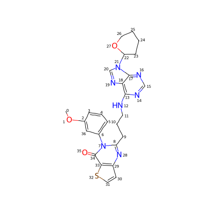 COc1cccc(-n2c(CCCNc3ncnc4c3ncn4C3CCCCO3)nc3ccsc3c2=O)c1